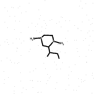 CCC(C)C1CN(N)CCN1N